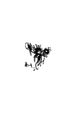 COc1ncc(-c2nc(Cl)nc3c(Br)csc23)cc1NS(=O)(=O)c1ccc(F)cc1F